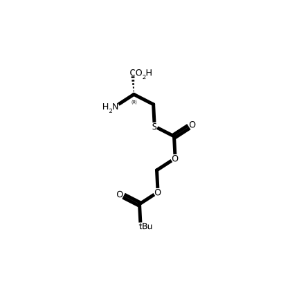 CC(C)(C)C(=O)OCOC(=O)SC[C@H](N)C(=O)O